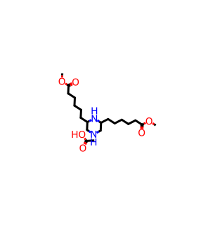 CC(=O)O.COC(=O)CCCCCC1CNCC(CCCCCC(=O)OC)N1